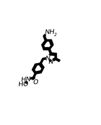 Cc1cc(-c2ccc(CN)cc2)n(Cc2ccc(C(=O)NO)cc2)n1